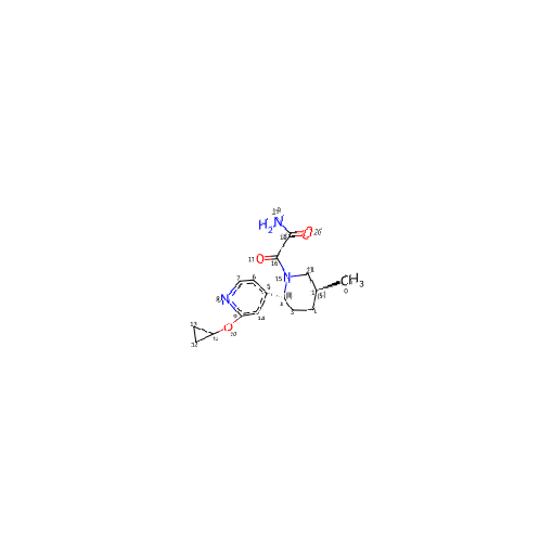 C[C@H]1CC[C@H](c2ccnc(OC3CC3)c2)N(C(=O)C(N)=O)C1